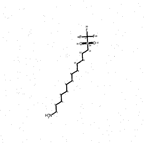 NCCCCCCCCCCCCCS(=O)(=O)C(F)(F)F